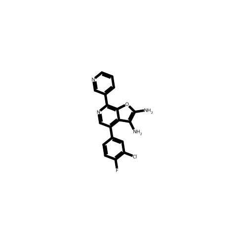 Nc1oc2c(-c3cccnc3)ncc(-c3ccc(F)c(Cl)c3)c2c1N